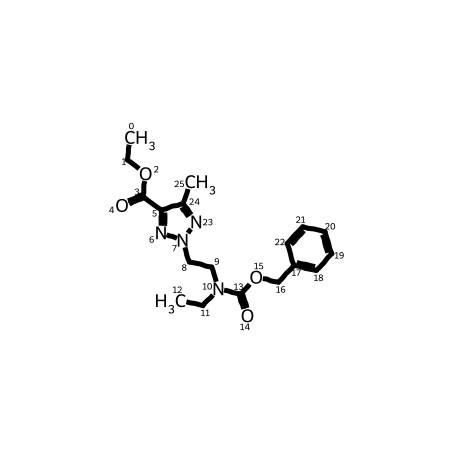 CCOC(=O)c1nn(CCN(CC)C(=O)OCc2ccccc2)nc1C